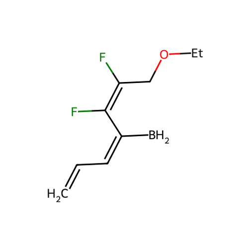 BC(=C/C=C)/C(F)=C(/F)COCC